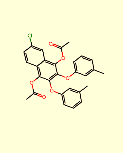 CC(=O)Oc1c(Oc2cccc(C)c2)c(Oc2cccc(C)c2)c(OC(C)=O)c2cc(Cl)ccc12